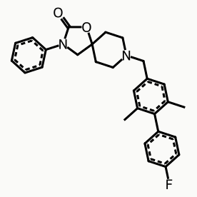 Cc1cc(CN2CCC3(CC2)CN(c2ccccc2)C(=O)O3)cc(C)c1-c1ccc(F)cc1